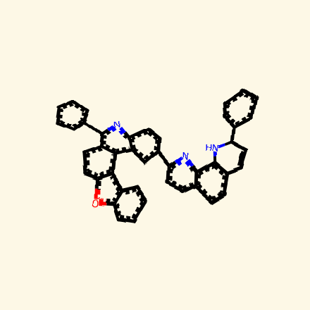 C1=CC(c2ccccc2)Nc2c1ccc1ccc(-c3ccc4nc(-c5ccccc5)c5ccc6oc7ccccc7c6c5c4c3)nc21